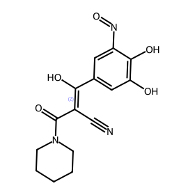 N#C/C(C(=O)N1CCCCC1)=C(/O)c1cc(O)c(O)c(N=O)c1